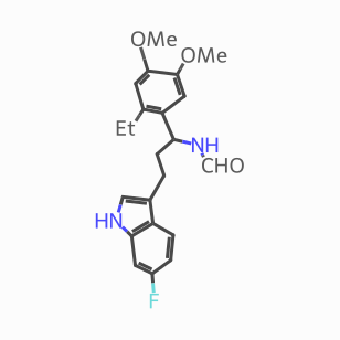 CCc1cc(OC)c(OC)cc1C(CCc1c[nH]c2cc(F)ccc12)NC=O